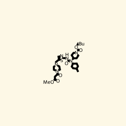 COC(=O)CC(=O)N1CCN(Cc2cnc(NC(=O)N(C3CCC(C)CC3)C3CCN(C(=O)OC(C)(C)C)CC3)s2)CC1